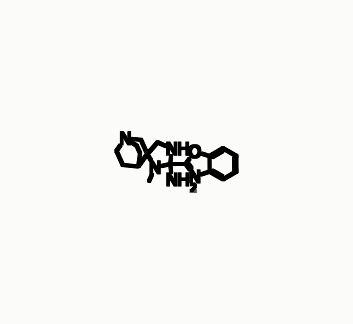 CN1C(N)(c2nc3ccccc3o2)NCC12CN1CCC2CC1